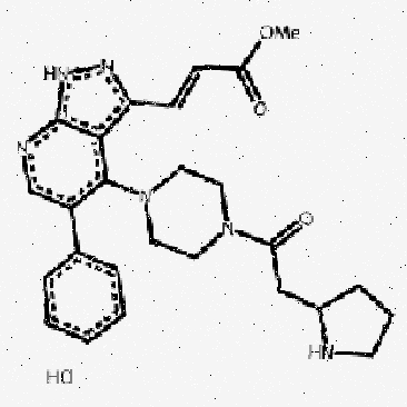 COC(=O)/C=C/c1n[nH]c2ncc(-c3ccccc3)c(N3CCN(C(=O)CC4CCCN4)CC3)c12.Cl